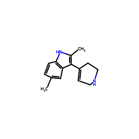 Cc1ccc2[nH]c(C)c(C3=CCNCC3)c2c1